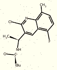 Cc1ccc(F)c2cc([C@H](C)N[S@+]([O-])C(C)(C)C)c(Cl)nc12